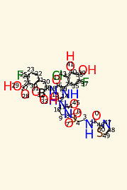 O=C(NCCS(=O)(=O)N1CCN(C(=O)N[C@@H](C(=O)N[C@H]2Cc3ccc(F)c(C(=O)O)c3OB2O)c2cc(F)c(O)c(O)c2Cl)C1=O)c1nccs1